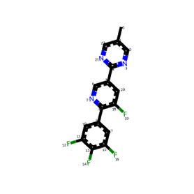 Cc1cnc(-c2cnc(-c3cc(F)c(F)c(F)c3)c(F)c2)nc1